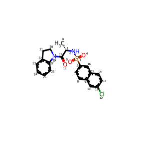 C[C@H](NS(=O)(=O)c1ccc2cc(Cl)ccc2c1)C(=O)N1CCc2ccccc21